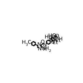 CCC(CC)C(C)(P(=O)(O)O)S(=O)(=O)c1ccc(NC(=O)c2nc(-c3ccc(C)cc3)cnc2N)cc1